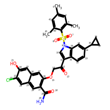 Cc1cc(C)c(S(=O)(=O)n2cc(C(=O)COc3cc4cc(O)c(Cl)cc4cc3C(N)=O)c3ccc(C4CC4)cc32)c(C)c1